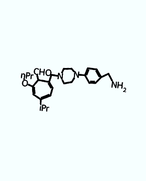 CCCOC1=CC(C(C)C)=CC=C(CN2CCN(c3ccc(CN)cc3)CC2)C1C=O